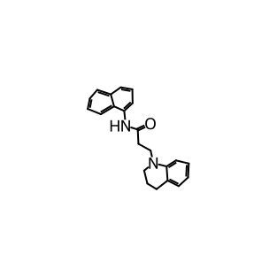 O=C(CCN1CCCc2ccccc21)Nc1cccc2ccccc12